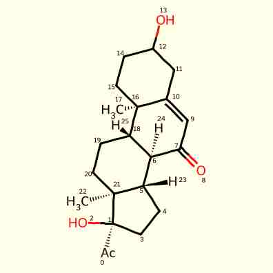 CC(=O)[C@@]1(O)CC[C@H]2[C@@H]3C(=O)C=C4CC(O)CC[C@]4(C)[C@H]3CC[C@@]21C